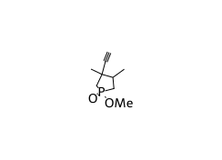 C#CC1(C)CP(=O)(OC)CC1C